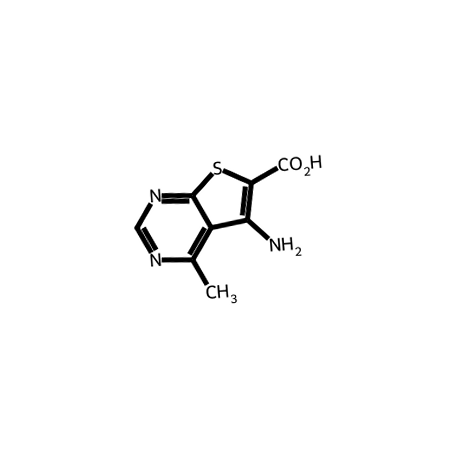 Cc1ncnc2sc(C(=O)O)c(N)c12